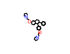 C1=C2CCC(c3ccccc3)=C(c3ccc(OCCN4CCCC4)cc3)C2=CCC1OCCN1CCCC1